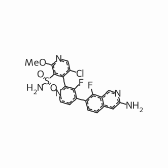 COc1ncc(Cl)c(-c2nccc(-c3ccc4cc(N)ncc4c3F)c2F)c1S(N)(=O)=O